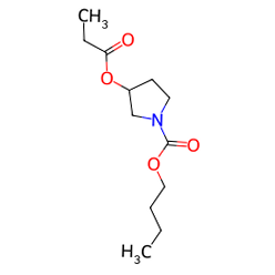 CCCCOC(=O)N1CCC(OC(=O)CC)C1